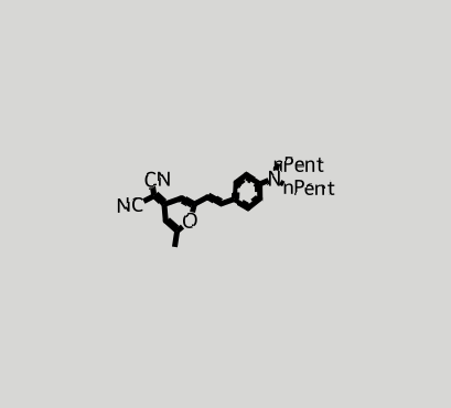 CCCCCN(CCCCC)c1ccc(C=CC2=CC(=C(C#N)C#N)C=C(C)O2)cc1